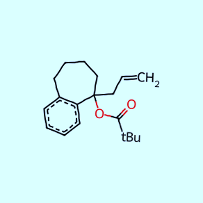 C=CCC1(OC(=O)C(C)(C)C)CCCCc2ccccc21